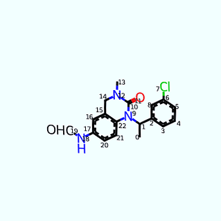 CC(c1cccc(Cl)c1)N1C(=O)N(C)Cc2cc(NC=O)ccc21